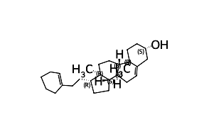 C[C@]12CC[C@H]3[C@@H](CC=C4C[C@@H](O)CC[C@@]43C)[C@@H]1CC[C@@H]2CCC1=CCCCC1